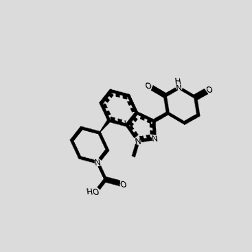 Cn1nc(C2CCC(=O)NC2=O)c2cccc([C@@H]3CCCN(C(=O)O)C3)c21